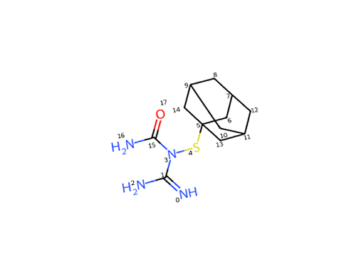 N=C(N)N(SC12CC3CC(CC(C3)C1)C2)C(N)=O